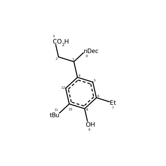 CCCCCCCCCCC(CC(=O)O)c1cc(CC)c(O)c(C(C)(C)C)c1